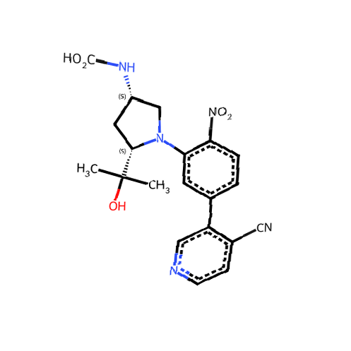 CC(C)(O)[C@@H]1C[C@H](NC(=O)O)CN1c1cc(-c2cnccc2C#N)ccc1[N+](=O)[O-]